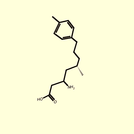 Cc1ccc(CCC[C@H](C)CC(N)CC(=O)O)cc1